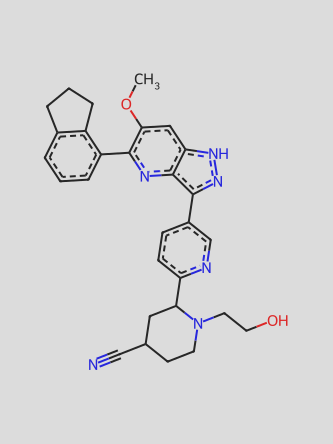 COc1cc2[nH]nc(-c3ccc(C4CC(C#N)CCN4CCO)nc3)c2nc1-c1cccc2c1CCC2